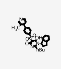 CCCCc1nc(=O)c(S(=O)(=O)c2ccc(-c3ccncc3C)cc2)c(O)n1[C@H]1CCc2ccccc21